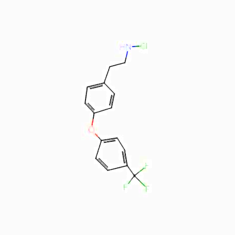 FC(F)(F)c1ccc(Oc2ccc(CCNCl)cc2)cc1